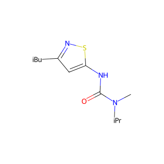 CCC(C)c1cc(NC(=O)N(C)C(C)C)sn1